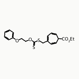 CCOC(=O)C1C=CC=C(CSC(=S)OCCOc2ccccc2)C=C1